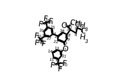 CC(=O)C(CC(C)C)c1cc(Oc2cccc(C(F)(F)F)c2)cc(-c2cc(C(F)(F)F)cc(C(F)(F)F)c2)c1